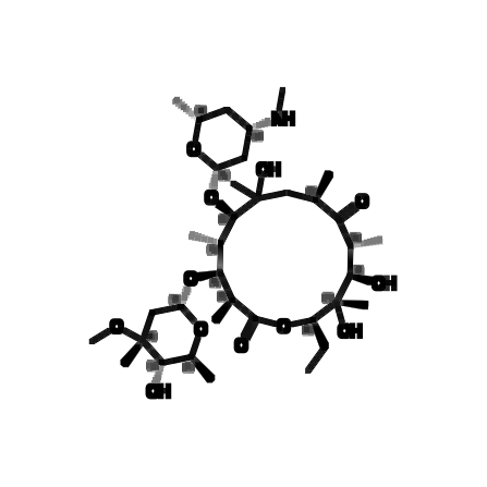 CC[C@H]1OC(=O)[C@@H](C)[C@@H](O[C@H]2C[C@@](C)(OC)[C@@H](O)[C@H](C)O2)[C@H](C)[C@@H](O[C@H]2C[C@@H](NC)C[C@@H](C)O2)C(C)(O)C[C@@H](C)C(=O)[C@H](C)[C@@H](O)[C@]1(C)O